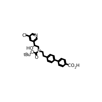 CC(C)(C)OC(=O)N(CCc1ccc(-c2ccc(C(=O)O)cc2)cc1)C[C@H](O)c1cncc(Cl)c1